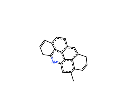 Cc1cc2nc3c4c(ccc5cc6c(c1C=CC6)c2c54)C=CC3